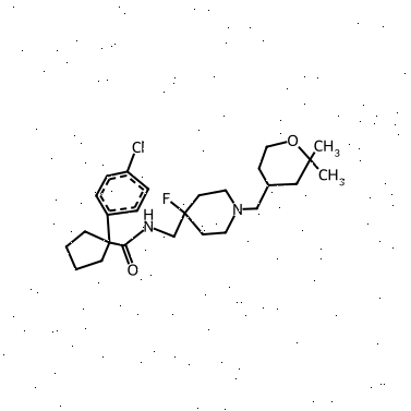 CC1(C)CC(CN2CCC(F)(CNC(=O)C3(c4ccc(Cl)cc4)CCCC3)CC2)CCO1